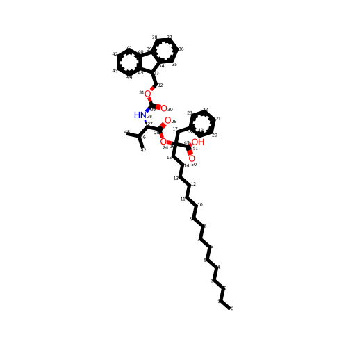 CCCCCCCCCCCCCCCCC(Cc1ccccc1)(OC(=O)[C@@H](NC(=O)OCC1c2ccccc2-c2ccccc21)C(C)C)C(=O)O